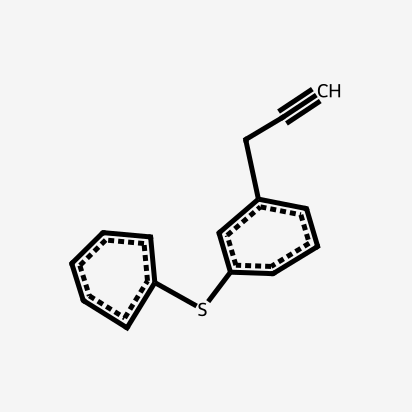 C#CCc1cccc(Sc2ccccc2)c1